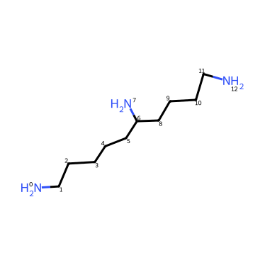 NCCCCCC(N)CCCCN